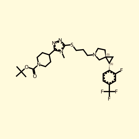 Cn1c(SCCCN2CC[C@]3(C[C@@H]3c3ccc(C(F)(F)F)cc3F)C2)nnc1C1CCN(C(=O)OC(C)(C)C)CC1